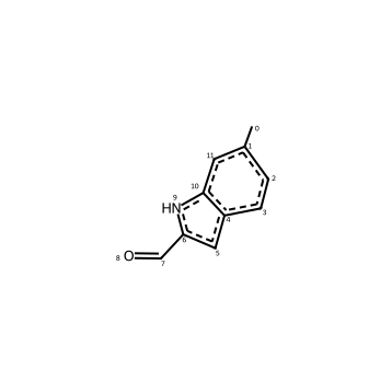 Cc1ccc2cc(C=O)[nH]c2c1